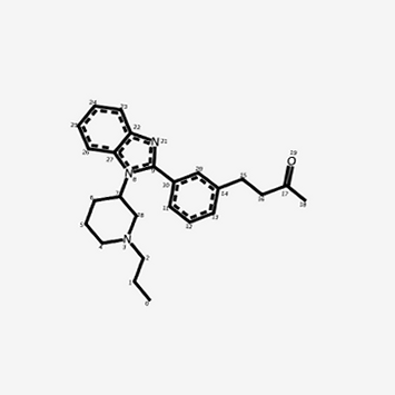 CCCN1CCCC(n2c(-c3cccc(CCC(C)=O)c3)nc3ccccc32)C1